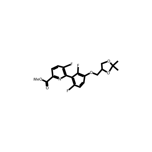 COC(=O)c1ccc(F)c(-c2c(F)ccc(OCC3COC(C)(C)O3)c2F)n1